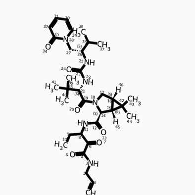 C=CCNC(=O)C(=O)C(CC)NC(=O)[C@@H]1[C@@H]2[C@H](CN1C(=O)[C@@H](NC(=O)N[C@H](Cn1ccccc1=O)C(C)C)C(C)(C)C)C2(C)C